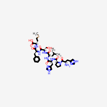 CSCC[C@H](NC(=O)[C@H](Cc1ccccc1)NC(=O)[C@H](CO)NC(=O)[C@H](CC(C)C)NC(=O)[C@H](Cc1c[nH]cn1)NC(=O)[C@@H]1CCCN1C(=O)[C@@H](N)Cc1c[nH]cn1)C(=O)O